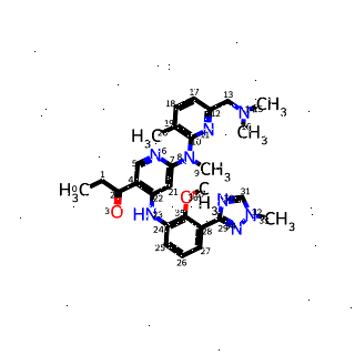 CCC(=O)c1cnc(N(C)c2nc(CN(C)C)ccc2C)cc1Nc1cccc(-c2ncn(C)n2)c1OC